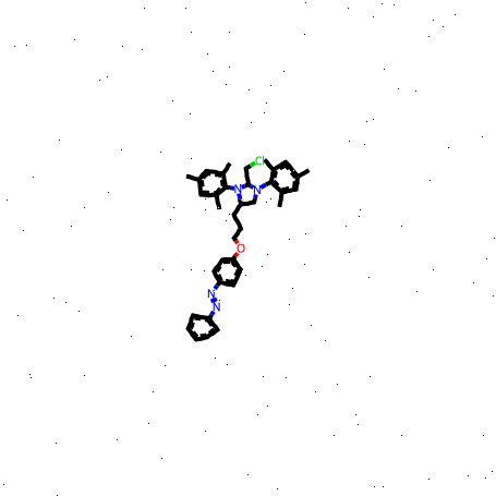 Cc1cc(C)c(N2CC(CCCOc3ccc(/N=N/c4ccccc4)cc3)N(c3c(C)cc(C)cc3C)C2CCl)c(C)c1